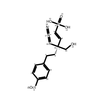 CCCCCCCCc1ccc(CC[C@](C=CP(=O)(O)O)(CO)N=[N+]=[N-])cc1